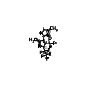 Cn1cnc(-c2c(C(F)(F)F)c(C(F)(F)C(F)(F)F)nn2C)n1